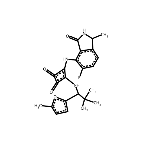 Cc1ccc(C(Nc2c(Nc3c(F)ccc4c3C(=O)NC4C)c(=O)c2=O)C(C)(C)C)o1